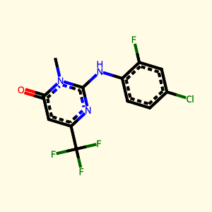 Cn1c(Nc2ccc(Cl)cc2F)nc(C(F)(F)F)cc1=O